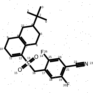 CC(C)(C)C1CCC2=C(CCC=C2S(=O)(=O)Cc2cc(F)c(C#N)cc2F)C1